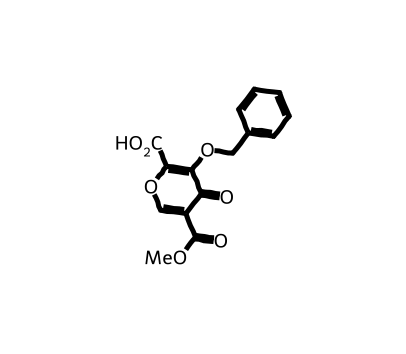 COC(=O)c1coc(C(=O)O)c(OCc2ccccc2)c1=O